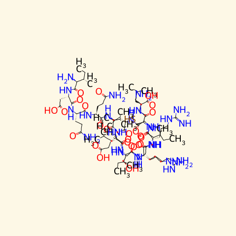 CC[C@H](C)[C@H](N)C(=O)N[C@@H](CC(=O)O)C(=O)N[C@@H](CCC(N)=O)C(=O)N[C@@H](CCC(N)=O)C(=O)N[C@H](C(=O)N[C@@H](CC(C)C)C(=O)N[C@@H](CO)C(=O)N[C@@H](CCCNC(=N)N)C(=O)N[C@H](C(=O)N[C@@H](CCCCN)C(=O)N[C@@H](CC(C)C)C(=O)N[C@@H](CCC(=O)O)C(=O)N[C@H](C(=O)N[C@@H](CCCCN)C(=O)N[C@@H](CCCNC(=N)N)C(=O)N[C@@H](CS)C(=O)N[C@@H](CC(C)C)C(=O)O)[C@@H](C)CC)[C@@H](C)CC)C(C)C